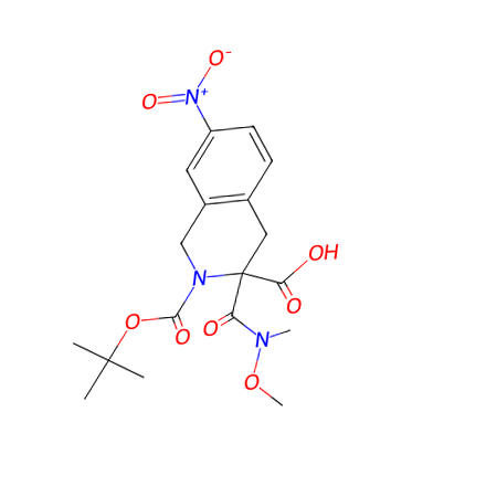 CON(C)C(=O)C1(C(=O)O)Cc2ccc([N+](=O)[O-])cc2CN1C(=O)OC(C)(C)C